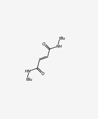 CC(C)(C)NC(=O)C=CC(=O)NC(C)(C)C